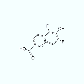 O=C(O)c1ccc2c(F)c(O)c(F)cc2c1